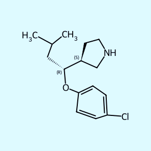 CC(C)C[C@@H](Oc1ccc(Cl)cc1)[C@H]1CCNC1